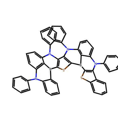 c1ccc(N2c3ccccc3B3c4sc5c(c4N(c4ccccc4)c4cccc2c43)N(c2ccccc2)c2cccc3c2B5c2sc4ccccc4c2N3c2ccccc2)cc1